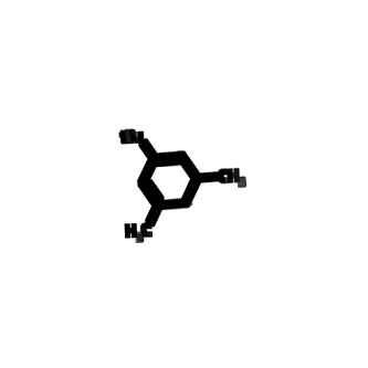 CC1=CC(C(C)(C)C)=CC(C)[CH]1